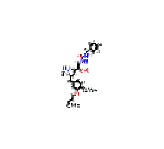 COCCCOc1cc(C[C@@H](C[C@H](N)[C@@H](O)CNC(=O)NCc2ccccc2)C(C)C)ccc1OC